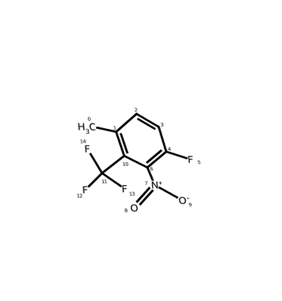 Cc1ccc(F)c([N+](=O)[O-])c1C(F)(F)F